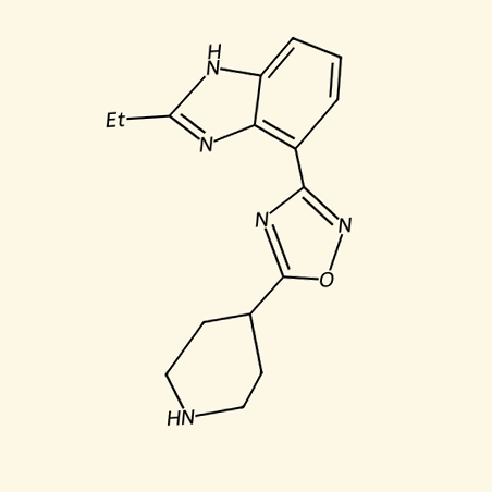 CCc1nc2c(-c3noc(C4CCNCC4)n3)cccc2[nH]1